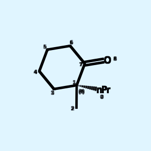 CCC[C@]1(C)CCCCC1=O